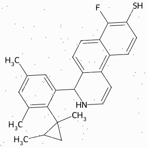 Cc1cc(C)c(C2(C)CC2C)c(C2NC=Cc3c2ccc2c(F)c(S)ccc32)c1